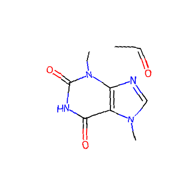 CC=O.Cn1cnc2c1c(=O)[nH]c(=O)n2C